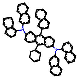 C1=CCCC(c2c3cc(N(c4ccc5ccccc5c4)c4cccc5ccccc45)ccc3c(-c3ccc4ccccc4c3)c3cc(N(c4ccc5ccccc5c4)c4cccc5ccccc45)ccc23)=C1